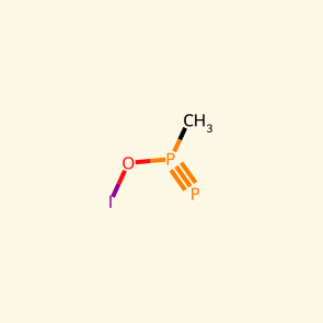 CP(#P)OI